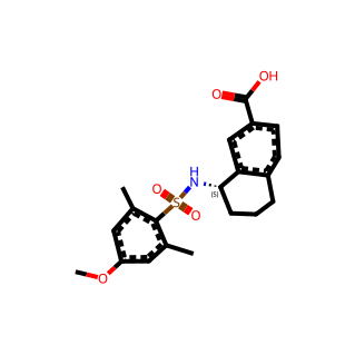 COc1cc(C)c(S(=O)(=O)N[C@H]2CCCc3ccc(C(=O)O)cc32)c(C)c1